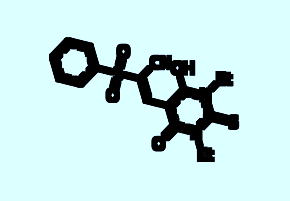 CCn1c(O)c(C=C(C#N)S(=O)(=O)c2ccccc2)c(=O)n(CC)c1=S